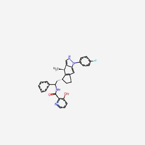 C[C@H]1C2=CNN(c3ccc(F)cc3)C2=CC2=C1[C@@H](CC(NC(=O)c1ncccc1O)c1ccccc1)CC2